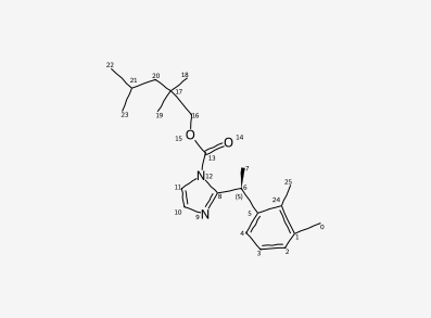 Cc1cccc([C@H](C)c2nccn2C(=O)OCC(C)(C)CC(C)C)c1C